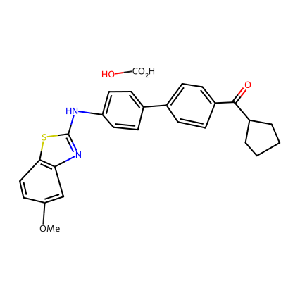 COc1ccc2sc(Nc3ccc(-c4ccc(C(=O)C5CCCC5)cc4)cc3)nc2c1.O=C(O)O